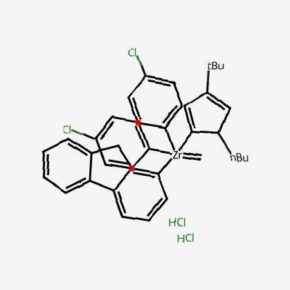 Cl.Cl.[CH2]=[Zr]([C]1=CC(C(C)(C)C)=CC1CCCC)([c]1ccc(Cl)cc1)([c]1ccc(Cl)cc1)[c]1cccc2c1Cc1ccccc1-2